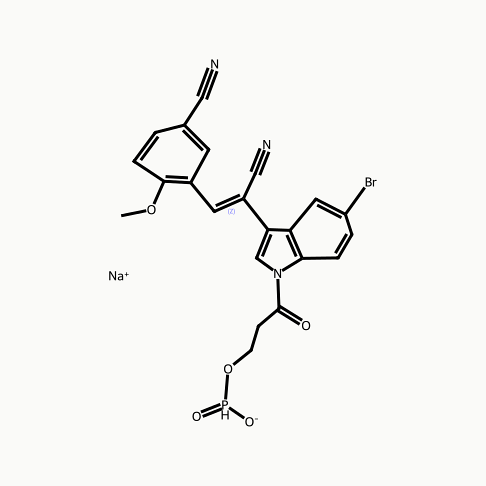 COc1ccc(C#N)cc1/C=C(\C#N)c1cn(C(=O)CCO[PH](=O)[O-])c2ccc(Br)cc12.[Na+]